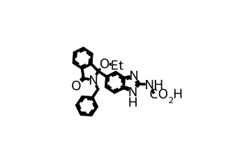 CCOC1(c2ccc3[nH]c(NC(=O)O)nc3c2)c2ccccc2C(=O)N1Cc1ccccc1